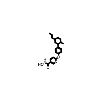 CCCC1CCC(C)C(c2ccc(Oc3ccc(C(=O)NO)cn3)cc2)C1